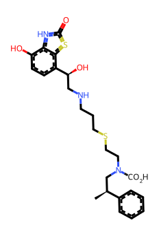 C[C@@H](CN(CCSCCCNC[C@H](O)c1ccc(O)c2[nH]c(=O)sc12)C(=O)O)c1ccccc1